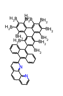 Bc1c(B)c(B)c2c(c1B)c1c(B)c(B)c(B)c(B)c1c1c(B)c(-c3c4ccccc4c(-c4ccc5ccc6cccnc6c5n4)c4ccccc34)c(B)c(B)c21